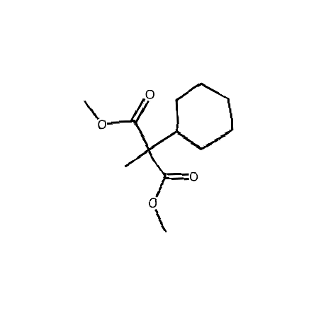 COC(=O)C(C)(C(=O)OC)C1CCCCC1